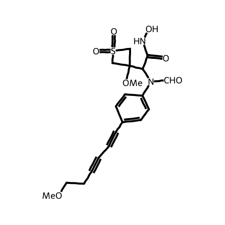 COCCC#CC#Cc1ccc(N(C=O)C(C(=O)NO)C2(OC)CS(=O)(=O)C2)cc1